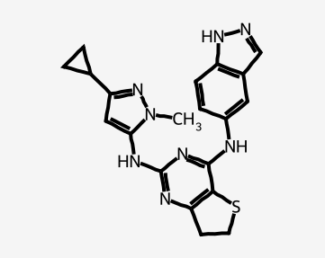 Cn1nc(C2CC2)cc1Nc1nc2c(c(Nc3ccc4[nH]ncc4c3)n1)SCC2